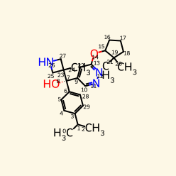 CC(C)c1ccc([C@](O)(c2cnnc(OC3CCCC3(C)C)c2)C2(C)CNC2)cc1